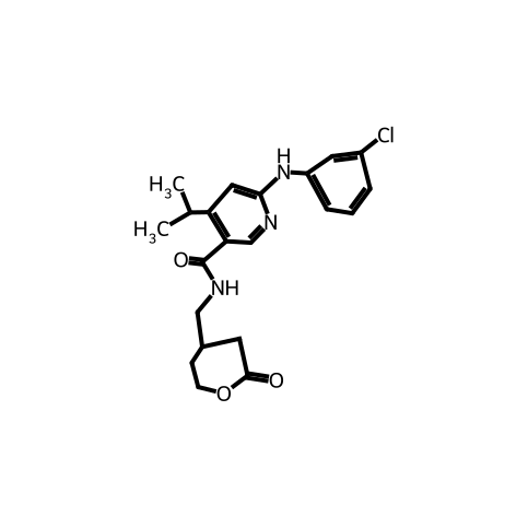 CC(C)c1cc(Nc2cccc(Cl)c2)ncc1C(=O)NCC1CCOC(=O)C1